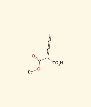 C=C=C=C(C(=O)O)C(=O)OCC